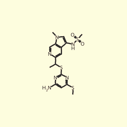 CSc1cc(N)nc(SC(C)c2cc3c(NS(C)(=O)=O)cn(C)c3cn2)n1